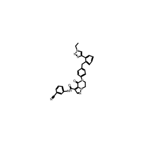 CCn1cc(-c2ccccc2Cc2ccc(N3CCn4ncc(C(=O)Nc5cccc(C#N)c5)c4C3=O)cc2)nn1